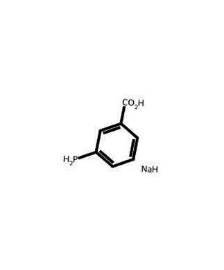 O=C(O)c1cccc(P)c1.[NaH]